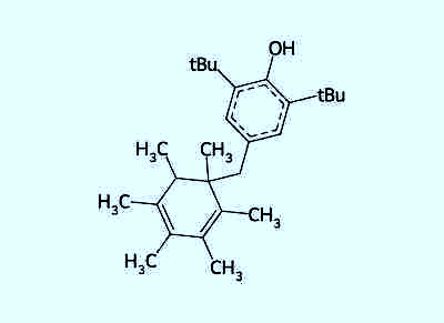 CC1=C(C)C(C)C(C)(Cc2cc(C(C)(C)C)c(O)c(C(C)(C)C)c2)C(C)=C1C